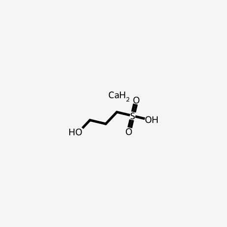 O=S(=O)(O)CCCO.[CaH2]